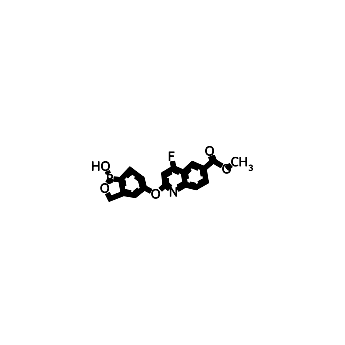 COC(=O)c1ccc2nc(Oc3ccc4c(c3)COB4O)cc(F)c2c1